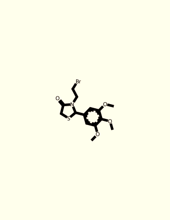 COc1cc(C2SCC(=O)N2CCBr)cc(OC)c1OC